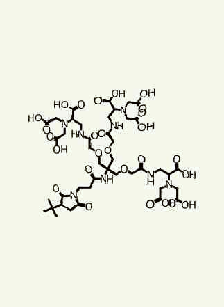 CC(C)(C)C1CC(=O)N(CCC(=O)NC(COCC(=O)NCC(C(=O)O)N(CC(=O)O)CC(=O)O)(COCC(=O)NCC(C(=O)O)N(CC(=O)O)CC(=O)O)COCC(=O)NCC(C(=O)O)N(CC(=O)O)CC(=O)O)C1=O